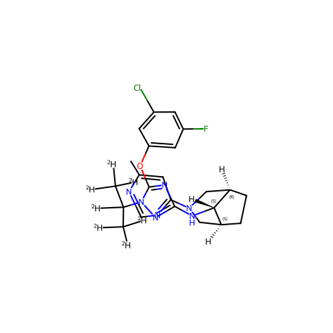 [2H]C([2H])([2H])C([2H])(n1nc(N[C@@H]2[C@@H]3CC[C@H]2CN(c2cc(C)ncn2)C3)nc1Oc1cc(F)cc(Cl)c1)C([2H])([2H])[2H]